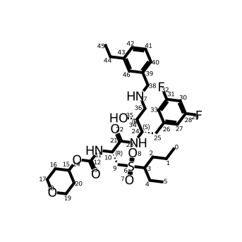 CCCC(CC)S(=O)(=O)C[C@H](NC(=O)OC1CCOCC1)C(=O)N[C@@H](Cc1cc(F)cc(F)c1)[C@H](O)CNCc1cccc(CC)c1